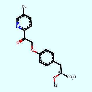 CCO[C@@H](Cc1ccc(OCC(=O)c2ccc(CC)cn2)cc1)C(=O)O